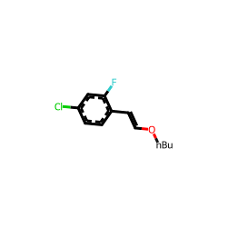 CCCCOC=Cc1ccc(Cl)cc1F